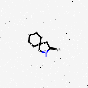 C=C1CC2(CCCCC2)CN1